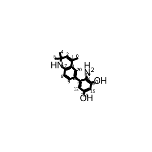 CC1=CC(C)(C)Nc2ccc(-c3cc(O)cc(O)c3N)cc21